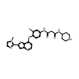 Cn1ccnc1-c1cc2nccc(Oc3ccc(NC(=O)CC(=O)NC4CCNCC4)cc3F)c2s1